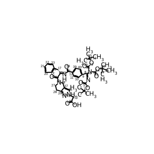 CC(C)(C)OC(=O)N=C(c1ccc(C(=O)N[C@@H](Cc2ccccc2)C(=O)N2CCc3nn(CC(=O)O)cc3C2)cc1)N(C(=O)OC(C)(C)C)C(=O)OC(C)(C)C